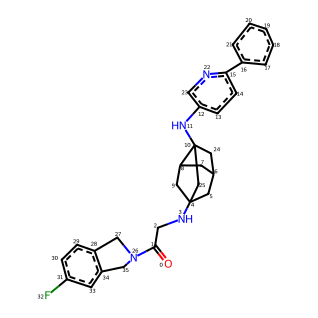 O=C(CNC12CC3CC(C1)C(Nc1ccc(-c4ccccc4)nc1)(C3)C2)N1Cc2ccc(F)cc2C1